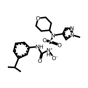 CC(C)c1cccc(NC(=O)[NH+]([O-])S(=O)(=O)N(c2cnn(C)c2)C2CCOCC2)c1